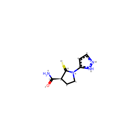 NC(=O)[C@@H]1CCN(c2ccn[nH]2)C1=S